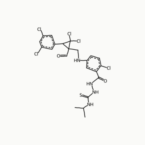 CC(C)NC(=S)NNC(=O)c1cc(NCC2(C=O)C(c3cc(Cl)cc(Cl)c3)C2(Cl)Cl)ccc1Cl